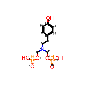 O=[PH](O)OCN(CCc1ccc(O)cc1)CO[PH](=O)O